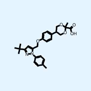 Cc1ccc(-n2nc(C(C)(C)C)cc2COc2ccc(C3COC(C)(C(=O)O)OC3)cc2)cc1